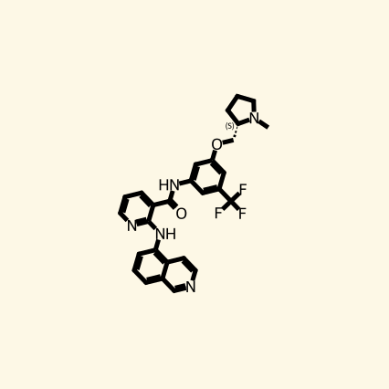 CN1CCC[C@H]1COc1cc(NC(=O)c2cccnc2Nc2cccc3cnccc23)cc(C(F)(F)F)c1